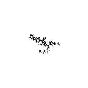 CC(C)(O/N=C(\C(=O)NC1C(=O)N2C(C(=O)[O-])=C(C=CC[N+]3(C)CCCC3)CS[C@@H]12)c1csc(N)n1)C(=O)O